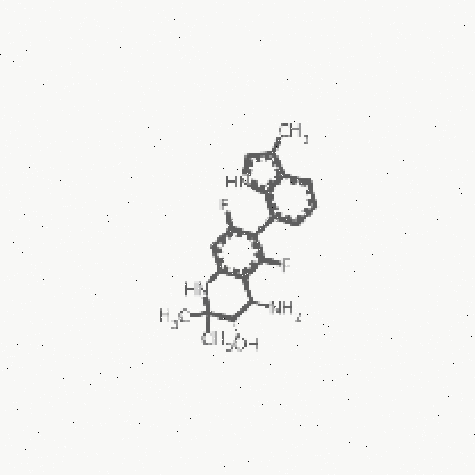 Cc1c[nH]c2c(-c3c(F)cc4c(c3F)[C@@H](N)[C@H](O)C(C)(C)N4)cccc12